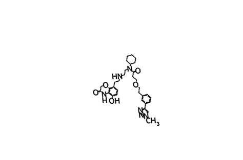 Cn1cc(-c2cccc(CCOCCC(=O)N(CCNCCc3ccc(O)c4c3OCC(=O)N4)C3CCCCC3)c2)nn1